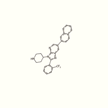 FC(F)(F)c1ccccc1-c1nc2cc(-c3ccc4ccccc4c3)cnc2n1C1CCNCC1